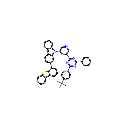 CC(C)(C)c1ccc(-c2nc(-c3ccccc3)nc(-c3cncc(-n4c5ccccc5c5ccc(-c6cccc7c6sc6ccccc67)cc54)c3)n2)cc1